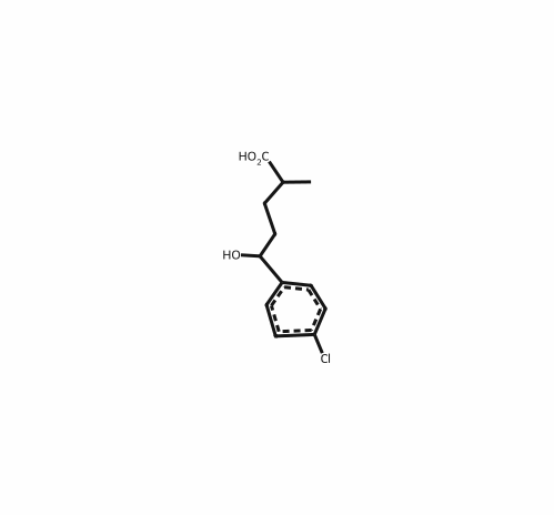 CC(CCC(O)c1ccc(Cl)cc1)C(=O)O